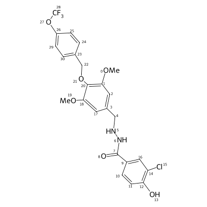 COc1cc(CNNC(=O)c2ccc(O)c(Cl)c2)cc(OC)c1OCc1ccc(OC(F)(F)F)cc1